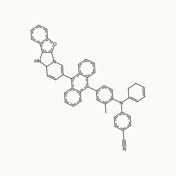 Cc1cc(-c2c3ccccc3c(C3=CN4c5oc6ccccc6c5NC4C=C3)c3ccccc23)ccc1N(C1=CC=CCC1)c1ccc(C#N)cc1